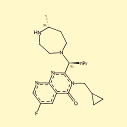 CCC[C@@H](c1nc2ncc(F)cc2c(=O)n1CC1CC1)N1CCN[C@H](C)CC1